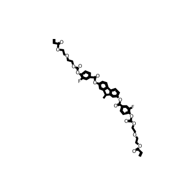 C=CC(=O)OCCOCCOC(=O)Oc1ccc(C(=O)Oc2ccc3c(c2)C(C)c2cc(OC(=O)c4ccc(OC(=O)OCCOCCOC(=O)C=C)c(F)c4)ccc2-3)cc1F